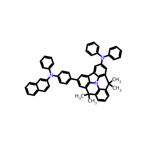 CC1(C)c2cccc3c2-n2c4c1cc(-c1ccc(N(c5ccccc5)c5ccc6ccccc6c5)cc1)cc4c1cc(N(c4ccccc4)c4ccccc4)cc(c12)C3(C)C